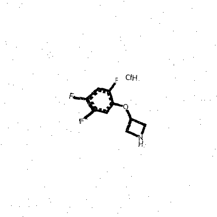 Cl.Fc1cc(F)c(OC2CNC2)cc1F